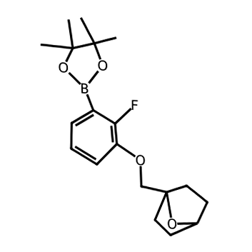 CC1(C)OB(c2cccc(OCC34CCC(CC3)O4)c2F)OC1(C)C